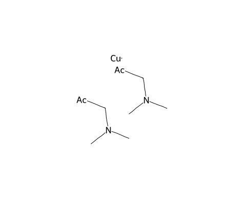 CC(=O)CN(C)C.CC(=O)CN(C)C.[Cu]